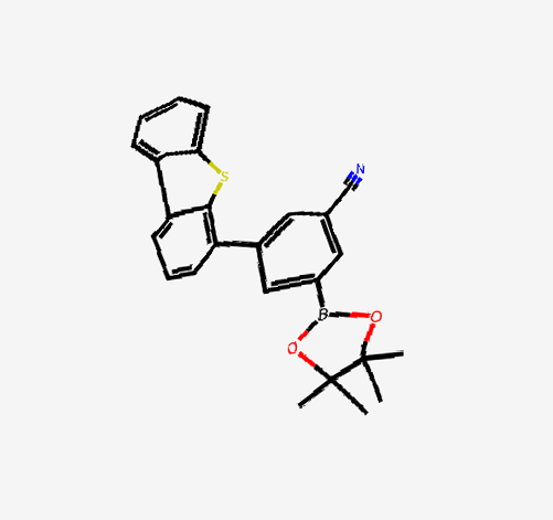 CC1(C)OB(c2cc(C#N)cc(-c3cccc4c3sc3ccccc34)c2)OC1(C)C